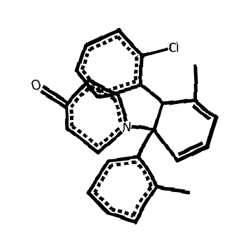 CC1=CC=CC(c2ccccc2C)(n2ccc(=O)cc2)C1c1ccccc1Cl